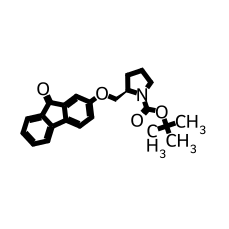 CC(C)(C)OC(=O)N1CCC[C@@H]1COc1ccc2c(c1)C(=O)c1ccccc1-2